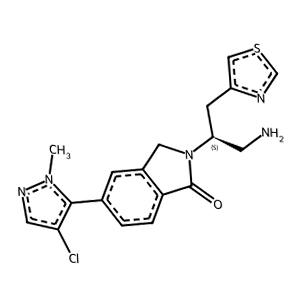 Cn1ncc(Cl)c1-c1ccc2c(c1)CN([C@H](CN)Cc1cscn1)C2=O